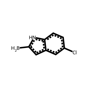 Bc1cc2cc(Cl)ccc2[nH]1